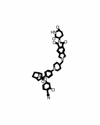 N#Cc1ccc(OC2CC3CCC(C2)N3C(=O)c2ccc(N3CCC(CN4Cc5cc6c(cc5C4)C(=O)N(C4CCC(=O)NC4=O)C6=O)CC3)cc2)cc1Cl